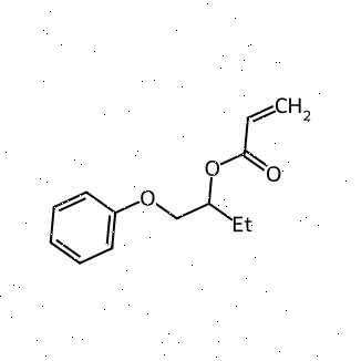 [CH2]CC(COc1ccccc1)OC(=O)C=C